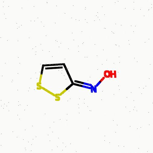 O/N=c1\ccss1